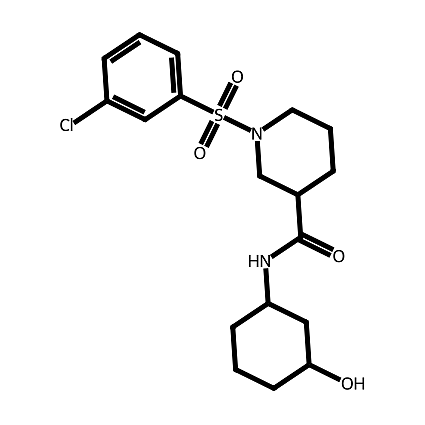 O=C(NC1CCCC(O)C1)C1CCCN(S(=O)(=O)c2cccc(Cl)c2)C1